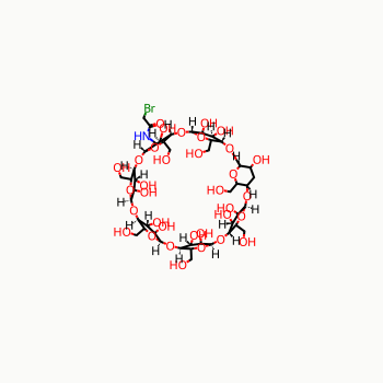 O=C(CBr)NC1[C@@H]2OC(CO)[C@@H](O[C@H]3OC(CO)[C@@H](O[C@H]4OC(CO)[C@H](CC4O)O[C@H]4OC(CO)[C@H](O[C@H]5OC(CO)[C@@H](O[C@H]6OC(CO)[C@@H](O[C@H]7OC(CO)[C@@H](O2)[C@H](O)C7O)[C@H](O)C6O)[C@H](O)C5O)[C@H](O)C4O)[C@H](O)C3O)[C@@H]1O